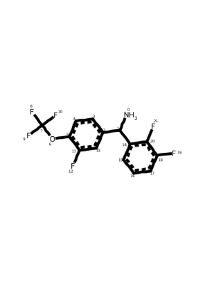 NC(c1ccc(OC(F)(F)F)c(F)c1)c1cccc(F)c1F